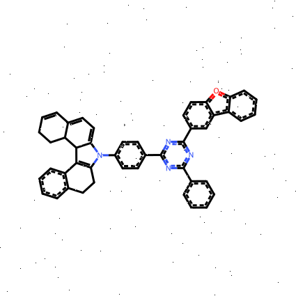 C1=CC2=CC=C3C(C4=C(CCc5ccccc54)N3c3ccc(-c4nc(-c5ccccc5)nc(-c5ccc6oc7ccccc7c6c5)n4)cc3)C2CC1